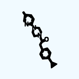 Cc1ccc(N2CCN(C(=O)Cc3ccc(C4CC4)cc3)CC2)nc1